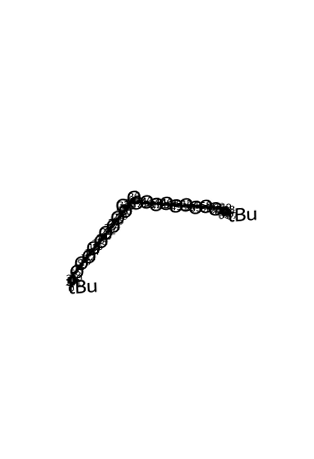 CC(C)(C)c1ccc(COCCOCCOCCOCCOCCOCCOCCOCCOC(=O)CCC(=O)OCCOCCOCCOCCOCCOCCOCCOCCOCc2ccc(C(C)(C)C)cc2)cc1